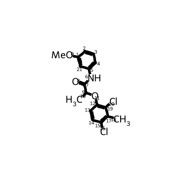 COc1cccc(NC(=O)C(C)Oc2ccc(Cl)c(C)c2Cl)c1